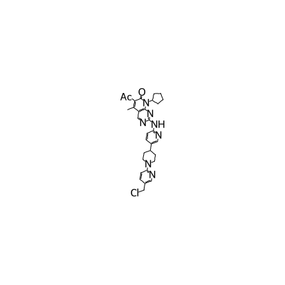 CC(=O)c1c(C)c2cnc(Nc3ccc(C4CCN(c5ccc(CCl)cn5)CC4)cn3)nc2n(C2CCCC2)c1=O